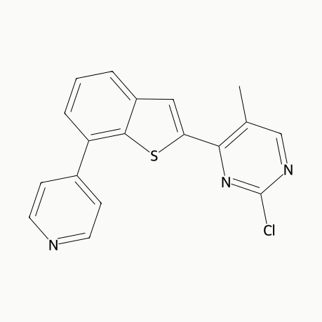 Cc1cnc(Cl)nc1-c1cc2cccc(-c3ccncc3)c2s1